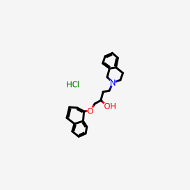 Cl.OC(CCN1CCc2ccccc2C1)COc1cccc2ccccc12